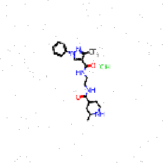 CC1CC(C(=O)NCCNC(=O)c2cn(-c3ccccc3)nc2C(F)(F)F)CCN1.Cl